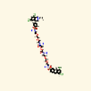 CNCc1c(Cl)cc(Cl)cc1[C@@H](C)c1ccc(S(=O)(=O)NCCOCCOCCNC(=O)COCC(=O)NCCOCCOCCNS(=O)(=O)c2ccc([C@@H]3CN(C)Cc4c(Cl)cc(Cl)cc43)cc2)cc1